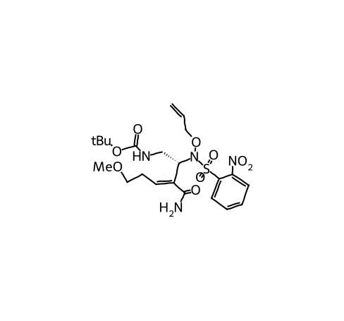 C=CCON([C@@H](CNC(=O)OC(C)(C)C)/C(=C\CCOC)C(N)=O)S(=O)(=O)c1ccccc1[N+](=O)[O-]